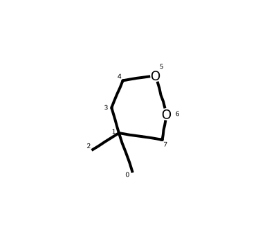 CC1(C)CCOOC1